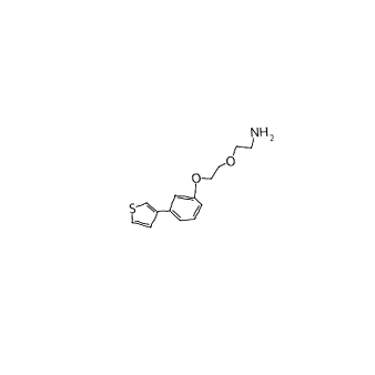 NCCOCCOc1cccc(-c2ccsc2)c1